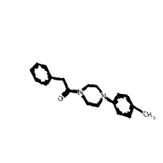 Cc1ccc(N2CCN(C(=O)Cc3ccccc3)CC2)cc1